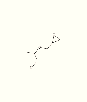 CC(CCl)OCC1CO1